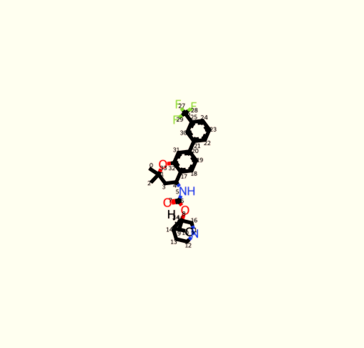 CC1(C)CC(NC(=O)O[C@H]2CN3CCC2CC3)c2ccc(-c3cccc(C(F)(F)F)c3)cc2O1